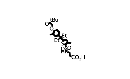 CCC(CC)(c1ccc(OCC(=O)C(C)(C)C)c(C)c1)c1cc(C)c(S(=O)(=O)NCCC(=O)O)s1